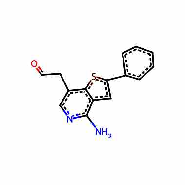 Nc1ncc(CC=O)c2sc(-c3ccccc3)cc12